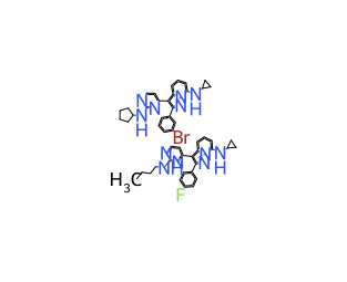 Brc1cccc(-c2nn3c(NC4CC4)cccc3c2-c2ccnc(NC3CCCC3)n2)c1.CCCCNc1nccc(-c2c(-c3ccc(F)cc3)nn3c(NC4CC4)cccc23)n1